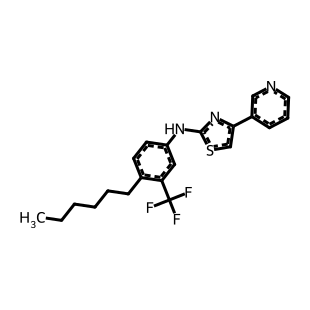 CCCCCCc1ccc(Nc2nc(-c3cccnc3)cs2)cc1C(F)(F)F